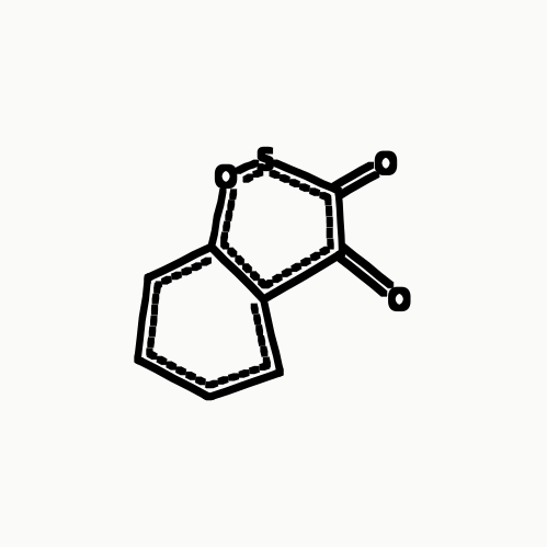 O=c1soc2ccccc2c1=O